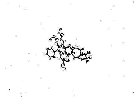 CCOC(CN(C(=O)N(OCC(=O)OC)C1CCCCC1)c1ccc2c(c1)CCN(C(=O)C(F)(F)F)CC2)OCC